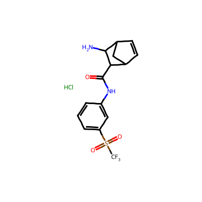 Cl.NC1C2C=CC(C2)C1C(=O)Nc1cccc(S(=O)(=O)C(F)(F)F)c1